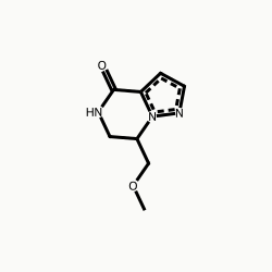 COCC1CNC(=O)c2ccnn21